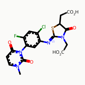 Cn1ccc(=O)n(-c2cc(/N=C3\SC(CC(=O)O)C(=O)N3CC(=O)O)c(Cl)cc2F)c1=O